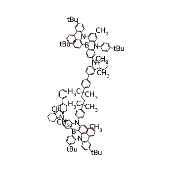 Cc1cc2c3c(c1)N(c1ccc(C(C)(C)C)cc1-c1ccccc1)c1cc(C(C)(C)C)ccc1B3c1ccc(N3c4ccc(-c5ccc(C(C)(C)CCC(C)(C)c6ccc(N7c8cc(N9c%10ccc(-c%11ccccc%11)cc%10C%10(C)CCCCC9%10C)ccc8B8c9ccc(C(C)(C)C)cc9N(c9ccc(C(C)(C)C)cc9-c9ccccc9)c9cc(C)cc7c98)cc6)cc5)cc4C4(C)CCCCC34C)cc1N2c1ccc(C(C)(C)C)cc1